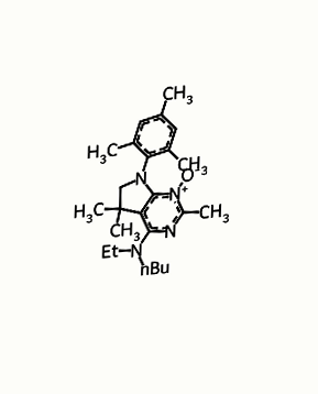 CCCCN(CC)c1nc(C)[n+]([O-])c2c1C(C)(C)CN2c1c(C)cc(C)cc1C